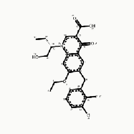 CCOc1cc2c(cc1Cc1cccc(Cl)c1F)c(=O)c(C(=O)O)cn2[C@@H](CC)CO